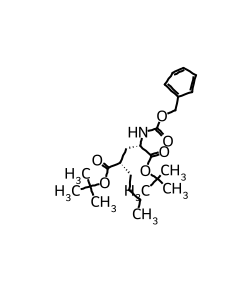 CCCC[C@@H](C[C@H](NC(=O)OCc1ccccc1)C(=O)OC(C)(C)C)C(=O)OC(C)(C)C